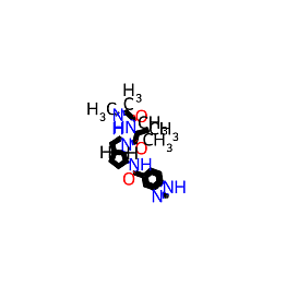 CN[C@@H](C)C(=O)N[C@H](C(=O)N1CC[C@H]2CC[C@H](NC(=O)c3ccc4[nH]cnc4c3)[C@H]21)C(C)(C)C